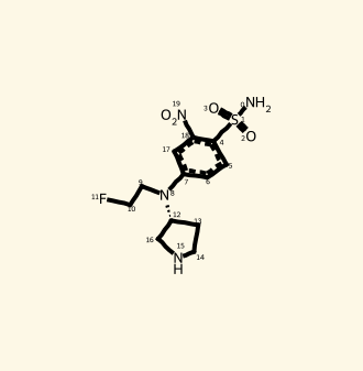 NS(=O)(=O)c1ccc(N(CCF)[C@@H]2CCNC2)cc1[N+](=O)[O-]